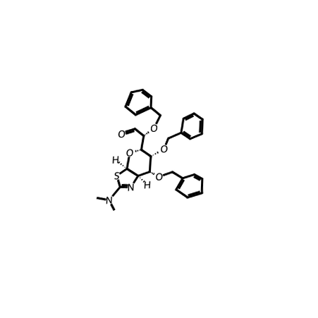 CN(C)C1=N[C@@H]2[C@@H](OCc3ccccc3)[C@@H](OCc3ccccc3)[C@@H]([C@H](C=O)OCc3ccccc3)O[C@@H]2S1